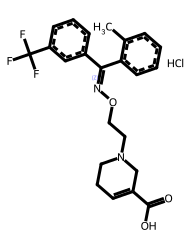 Cc1ccccc1/C(=N\OCCN1CCC=C(C(=O)O)C1)c1cccc(C(F)(F)F)c1.Cl